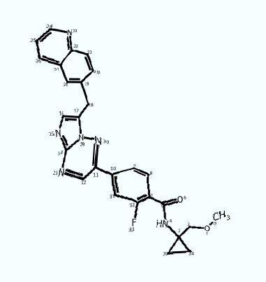 COCC1(NC(=O)c2ccc(-c3cnc4ncc(Cc5ccc6ncccc6c5)n4n3)cc2F)CC1